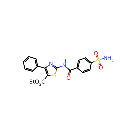 CCOC(=O)c1sc(NC(=O)c2ccc(S(N)(=O)=O)cc2)nc1-c1ccccc1